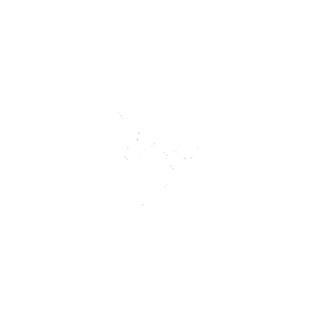 CCC(Sc1nc2cc(OC)ccc2n1-c1ccc(C#N)c2ccccc12)C(=O)[O-].[K+]